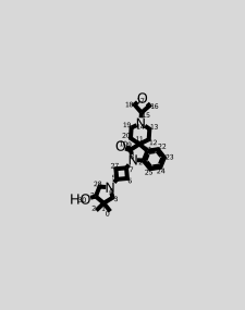 CC1(C)CN(C2CC(N3C(=O)C4(CCN(C5COC5)CC4)c4ccccc43)C2)CC1O